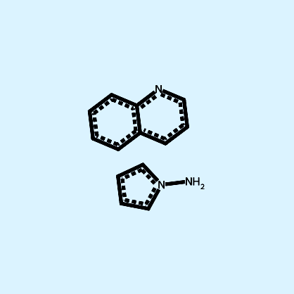 Nn1cccc1.c1ccc2ncccc2c1